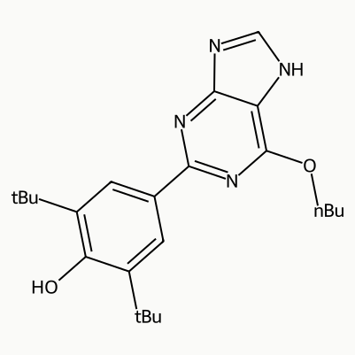 CCCCOc1nc(-c2cc(C(C)(C)C)c(O)c(C(C)(C)C)c2)nc2nc[nH]c12